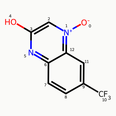 [O-][n+]1cc(O)nc2ccc(C(F)(F)F)cc21